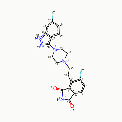 O=C1NC(=O)c2c1ccc(F)c2CCN1CCN(c2n[nH]c3cc(F)ccc23)CC1